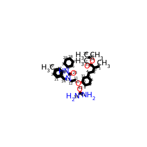 CCC(CCC1CCCC(OCCN(Cc2ccc(C)cc2)C(=O)NC2CCCCC2)C1)C(=O)OC(C)(C)C.NC(N)=O